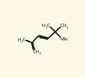 C=C(C)/C=C/C(C)(C)CCCC